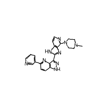 CN1CCN(c2nccc3[nH]c(-c4n[nH]c5ccc(-c6cccnc6)nc45)nc23)CC1